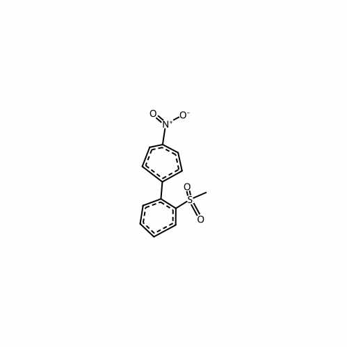 CS(=O)(=O)c1ccccc1-c1ccc([N+](=O)[O-])cc1